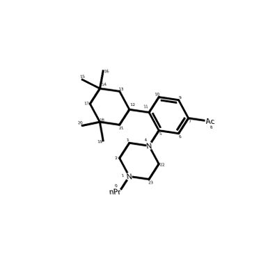 CCCN1CCN(c2cc(C(C)=O)ccc2C2CC(C)(C)CC(C)(C)C2)CC1